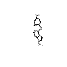 CNc1ccc(Oc2ncnc3c2ccn3C)cc1